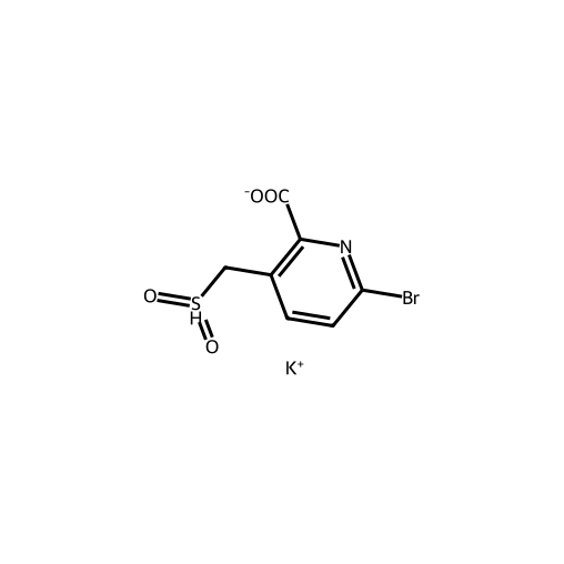 O=C([O-])c1nc(Br)ccc1C[SH](=O)=O.[K+]